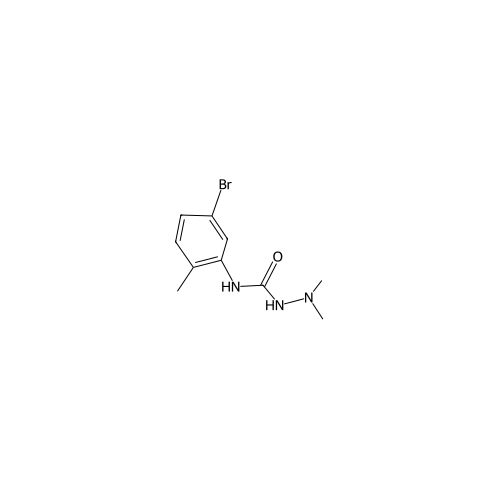 Cc1ccc(Br)cc1NC(=O)NN(C)C